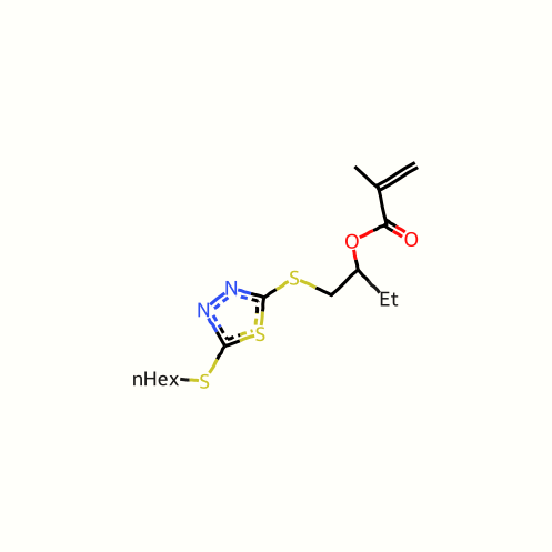 C=C(C)C(=O)OC(CC)CSc1nnc(SCCCCCC)s1